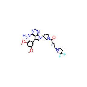 COc1cc(OC)cc(-c2cn([C@H]3CCN(C(=O)/C=C/CN4CCC(F)(F)C4)C3)c3ncnc(N)c23)c1